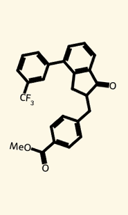 COC(=O)c1ccc(CC2Cc3c(cccc3-c3cccc(C(F)(F)F)c3)C2=O)cc1